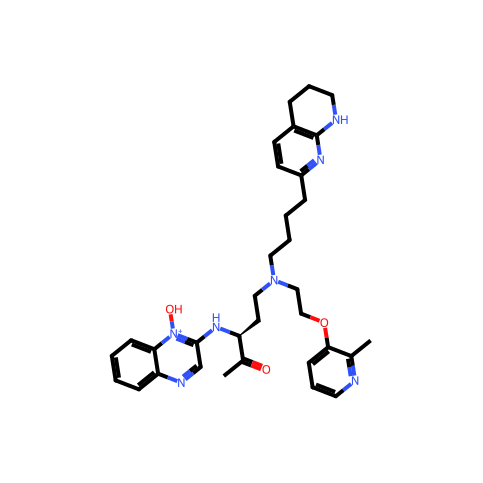 CC(=O)[C@H](CCN(CCCCc1ccc2c(n1)NCCC2)CCOc1cccnc1C)Nc1cnc2ccccc2[n+]1O